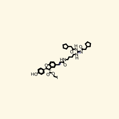 O=C(CC1CCCC1)/N=C(/NCCCCNC(=O)/C=C/c1ccc2c(c1)[C@H](C(=O)OCI)[C@@H](c1ccc(O)cc1)O2)NC(=O)CC1CCCC1